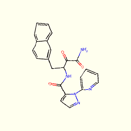 NC(=O)C(=O)C(Cc1ccc2ccccc2c1)NC(=O)c1ccnn1-c1ccccn1